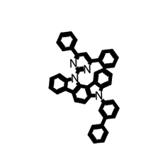 c1ccc(-c2cccc(-n3c4ccccc4c4c3ccc3c5ccccc5n(-c5nc(-c6ccccc6)cc(-c6ccccc6)n5)c34)c2)cc1